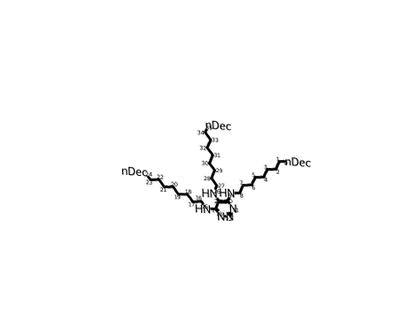 CCCCCCCCCCCCCCCCCCNc1nnnc(NCCCCCCCCCCCCCCCCCC)c1NCCCCCCCCCCCCCCCCCC